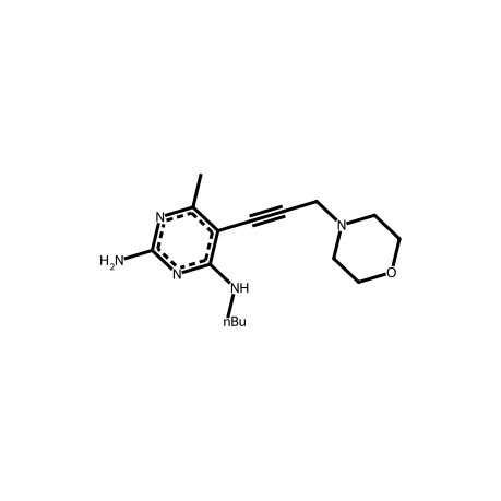 CCCCNc1nc(N)nc(C)c1C#CCN1CCOCC1